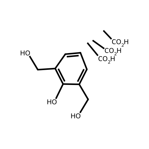 CC(=O)O.CC(=O)O.CC(=O)O.OCc1cccc(CO)c1O